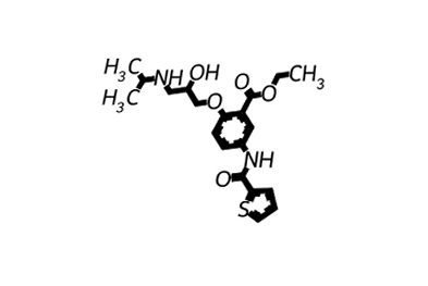 CCOC(=O)c1cc(NC(=O)c2cccs2)ccc1OCC(O)CNC(C)C